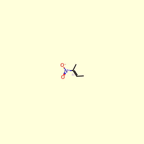 C/C=C(\C)[N+](=O)[O-]